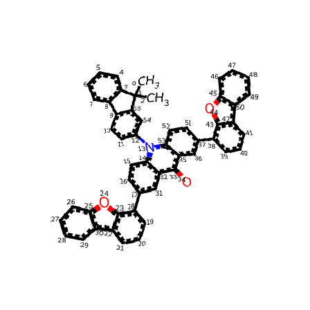 CC1(C)c2ccccc2-c2ccc(-n3c4ccc(-c5cccc6c5oc5ccccc56)cc4c(=O)c4cc(-c5cccc6c5oc5ccccc56)ccc43)cc21